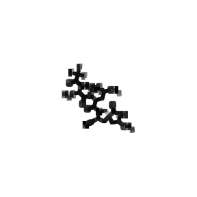 CC(C)CC(C(=O)N1C[C@]2(CC(C)NC2=O)C[C@H]1C#N)N(C)C(=O)C(C)NC(=O)C(F)(F)F